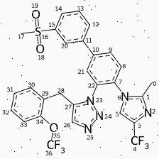 Cc1nc(C(F)(F)F)cn1-c1ccc(-c2cccc(S(C)(=O)=O)c2)cc1-n1nncc1Cc1ccccc1OC(F)(F)F